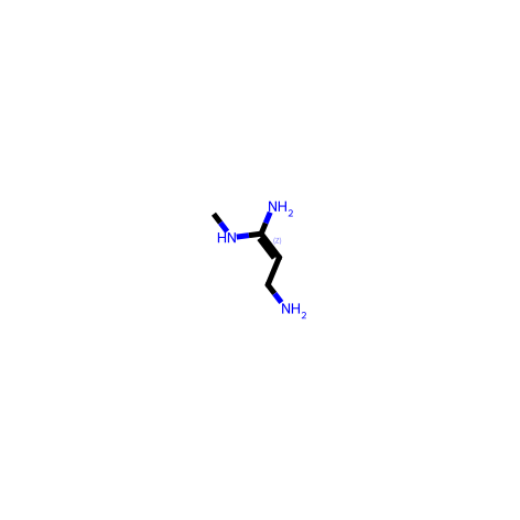 CN/C(N)=C\CN